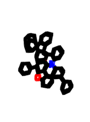 c1ccc(-c2ccc(N(c3ccccc3-c3cccc4c3-c3ccccc3C43C4CC5CC(C4)CC3C5)c3ccc(-c4ccccc4)c4oc5ccccc5c34)cc2)cc1